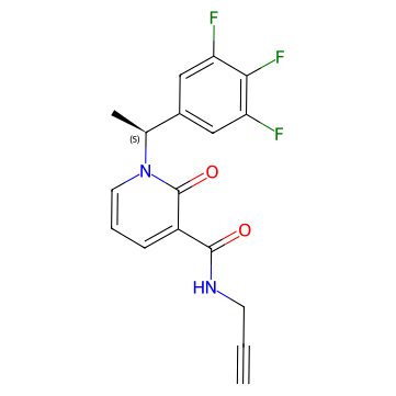 C#CCNC(=O)c1cccn([C@@H](C)c2cc(F)c(F)c(F)c2)c1=O